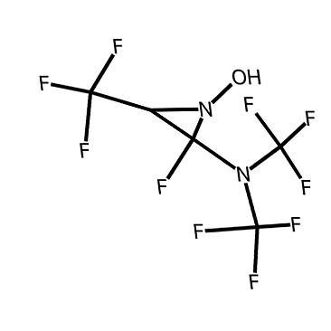 ON1C(C(F)(F)F)C1(F)N(C(F)(F)F)C(F)(F)F